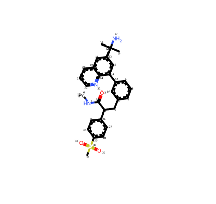 CC(C)NC(=O)C(Cc1cccc(-c2cc(C(C)(C)N)cc3cccnc23)c1)c1ccc(S(C)(=O)=O)cc1